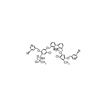 Cc1cc(Cl)c(OCc2cccc(-c3cccc(COc4cc(OCc5cncc(C#N)c5)c(CNC(C)(C)C=O)cc4Cl)c3C)c2C)cc1OCc1cncc(C#N)c1